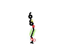 C=C(C)C(=O)OCCC(F)(F)C(F)(F)C(F)(F)C(F)(F)CCOc1ccc2cc(-c3ccc(CC)cc3)sc2c1